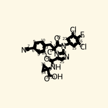 CC1(Cc2ccc(C#N)cc2)C(=O)N(c2cc(Cl)c(F)c(Cl)c2)c2ncc(C(=O)NC3(C(=O)O)CC3)n21